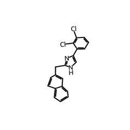 Clc1cccc(-c2c[nH]c(Cc3ccc4ccccc4c3)n2)c1Cl